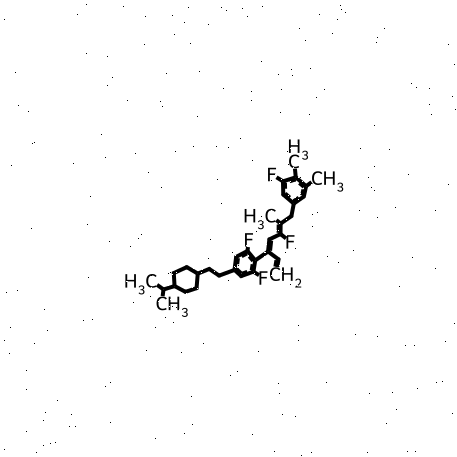 C=C/C(=C\C(F)=C(/C)Cc1cc(C)c(C)c(F)c1)c1c(F)cc(CCC2CCC(C(C)C)CC2)cc1F